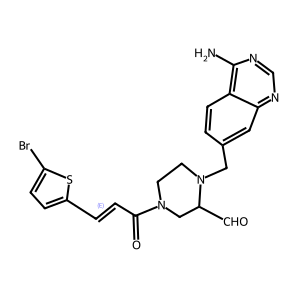 Nc1ncnc2cc(CN3CCN(C(=O)/C=C/c4ccc(Br)s4)CC3C=O)ccc12